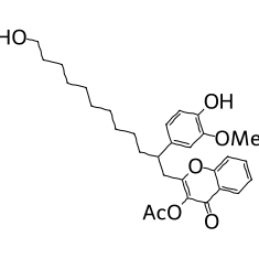 COc1cc(C(CCCCCCCCCCO)Cc2oc3ccccc3c(=O)c2OC(C)=O)ccc1O